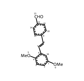 COc1ccc(OC)c(C=Cc2ccc(C=O)cc2)c1